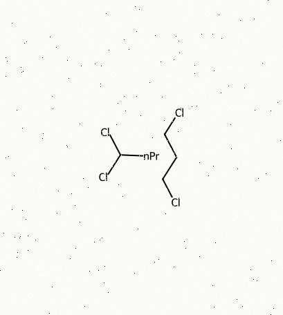 CCCC(Cl)Cl.ClCCCCl